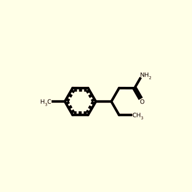 CCC(CC(N)=O)c1ccc(C)cc1